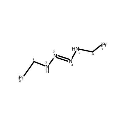 CC(C)CNN=NNCC(C)C